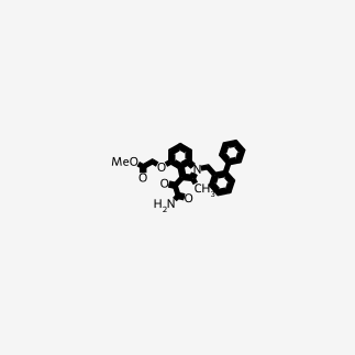 COC(=O)COc1cccc2c1c(C(=O)C(N)=O)c(C)n2Cc1ccccc1-c1ccccc1